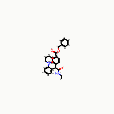 CCNC(=O)C(c1ccc(C(=O)OCc2ccccc2)cc1)c1ccccc1N1CCCCC1